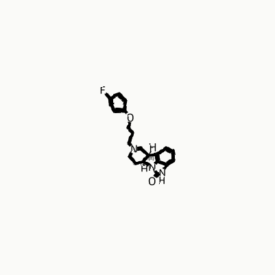 O=c1[nH]c2cccc3c2n1[C@H]1CCN(CCCOc2ccc(F)cc2)C[C@@H]31